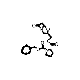 O=C(OCC1CN2C(=O)CC2O1)[C@@H]1CCCN1C(=O)OCc1ccccc1